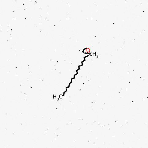 CCCCCCCCCCCCCCCCCCCC[Si]1(C)CCCCO1